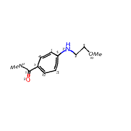 CNC(=O)c1ccc(NCCOC)cc1